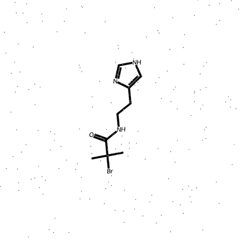 CC(C)(Br)C(=O)NCCc1c[nH]cn1